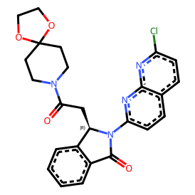 O=C(C[C@@H]1c2ccccc2C(=O)N1c1ccc2ccc(Cl)nc2n1)N1CCC2(CC1)OCCO2